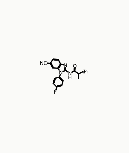 CC(C)C(C)C(=O)Nc1nc2ccc(C#N)cc2n1-c1ccc(F)cc1